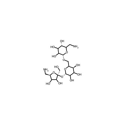 NCC1O[C@H](OCC2O[C@@H](O[C@]3(CO)O[C@H](CN)C(O)C3O)C(O)C(O)[C@@H]2O)C(O)C(O)[C@@H]1O